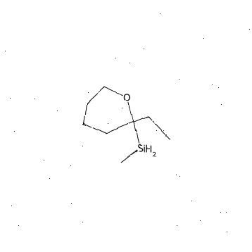 CCC1([SiH2]C)CCCCO1